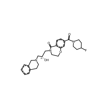 O=C(c1ccc2c(c1)OCCN(C[C@H](O)CN1CCc3ccccc3C1)C2=O)N1CCC(F)CC1